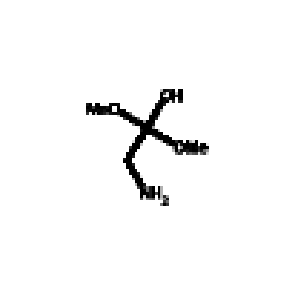 COC(O)(CN)OC